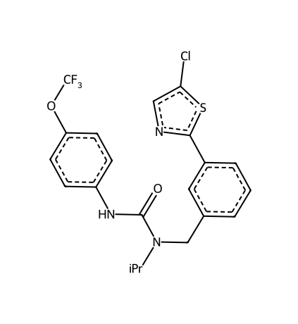 CC(C)N(Cc1cccc(-c2ncc(Cl)s2)c1)C(=O)Nc1ccc(OC(F)(F)F)cc1